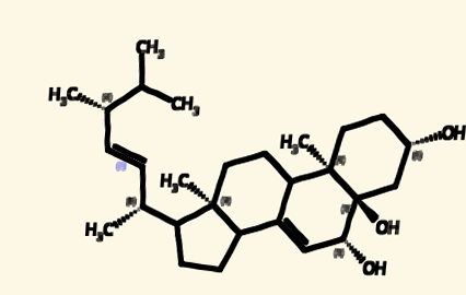 CC(C)[C@@H](C)/C=C/[C@@H](C)C1CCC2C3=C[C@@H](O)[C@@]4(O)C[C@@H](O)CC[C@]4(C)C3CC[C@@]21C